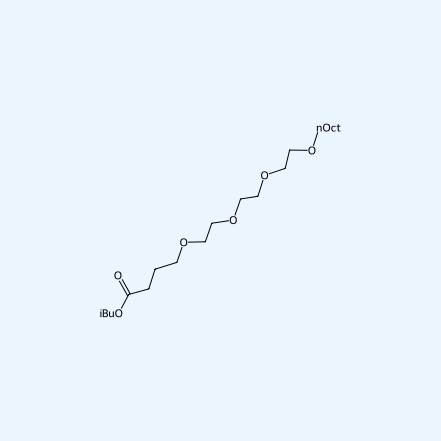 CCCCCCCCOCCOCCOCCOCCCC(=O)OCC(C)C